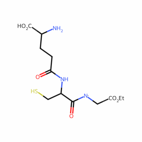 CCOC(=O)C[N]C(=O)C(CS)NC(=O)CCC(N)C(=O)O